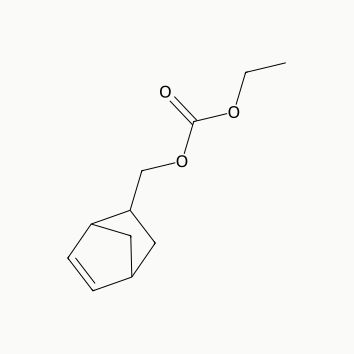 CCOC(=O)OCC1CC2C=CC1C2